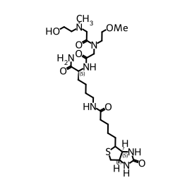 COCCN(CC(=O)N[C@@H](CCCCNC(=O)CCCCC1SC[C@@H]2NC(=O)N[C@H]12)C(N)=O)C(=O)CN(C)CCO